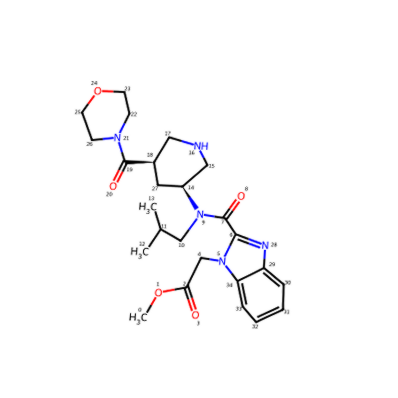 COC(=O)Cn1c(C(=O)N(CC(C)C)[C@@H]2CNC[C@H](C(=O)N3CCOCC3)C2)nc2ccccc21